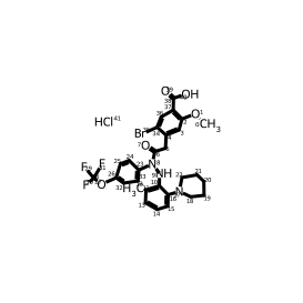 COc1cc(CC(=O)N(Nc2c(C)cccc2N2CCCCC2)c2ccc(OC(F)(F)F)cc2)c(Br)cc1C(=O)O.Cl